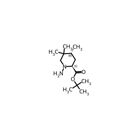 C[C@@H]1C[C@@H](C(=O)OC(C)(C)C)N(N)CC1(C)C